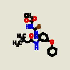 COC(=O)NC(=S)Nc1ccc(Oc2ccccc2)cc1NC(=O)CC(C)C